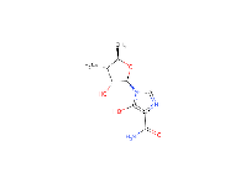 C[C@H]1[C@@H](O)[C@H](n2cnc(C(N)=O)c2O)O[C@@H]1C